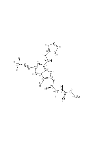 C[C@@H](NC(=O)OC(C)(C)C)[C@@H](F)Cc1oc2c(NCc3cccs3)nc(C#C[Si](C)(C)C)nc2c1Br